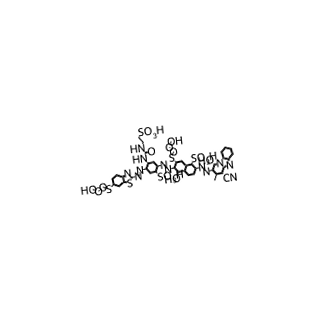 Cc1c(N=Nc2ccc3c(O)c(N=Nc4cc(NC(=O)NCCS(=O)(=O)O)c(N=Nc5nc6ccc(SOOO)cc6s5)cc4S(=O)(=O)O)c(SOOO)cc3c2S(=O)(=O)O)c(O)n2c(nc3ccccc32)c1C#N